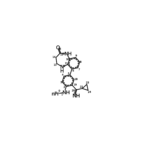 CCCNc1ccc(-c2cccc3c2NCCC(=O)N3)cc1C(=N)C1CC1